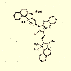 CCCCCN1/C(=C/C=C2C(Cl)=C(/C=C/C3=[N+](CCCCC)c4ccc5ccccc5c4C3(C)C)c3nc4ccccc4nc3/2)C(C)(C)c2c1ccc1ccccc21